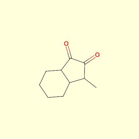 CC1C(=O)C(=O)C2CCCCC12